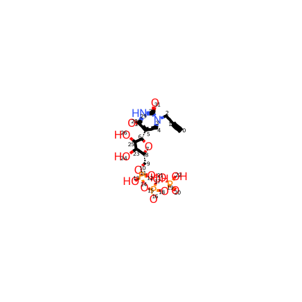 C#CCn1cc([C@@H]2O[C@H](COP(=O)(O)OP(=O)(O)OP(=O)(O)O)C(O)C2O)c(=O)[nH]c1=O